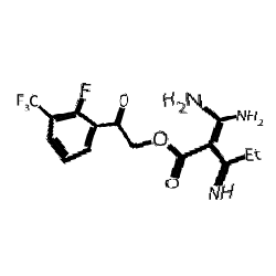 CCC(=N)C(C(=O)OCC(=O)c1cccc(C(F)(F)F)c1F)=C(N)N